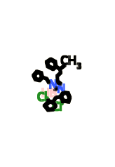 CCC(CCc1cnc(BC(c2ccccc2Cl)c2ccccc2Cl)n1CCc1ccccc1)c1ccccc1